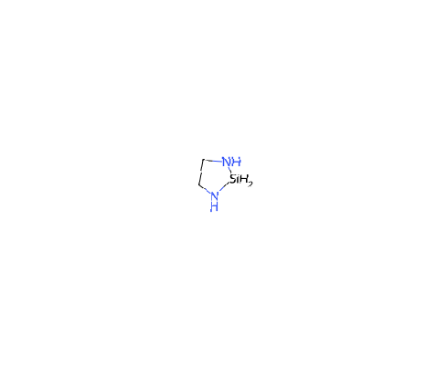 C1CN[SiH2]N1